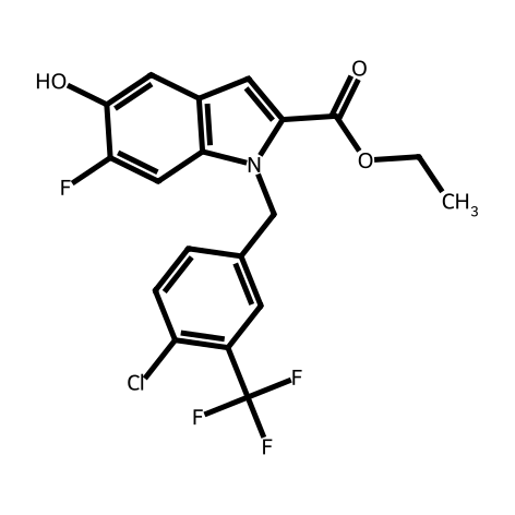 CCOC(=O)c1cc2cc(O)c(F)cc2n1Cc1ccc(Cl)c(C(F)(F)F)c1